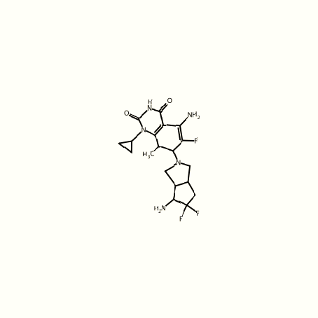 CC1c2c(c(=O)[nH]c(=O)n2C2CC2)C(N)=C(F)C1N1CC2CC(F)(F)C(N)C2C1